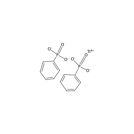 O=P([O-])([O-])c1ccccc1.O=P([O-])([O-])c1ccccc1.[Ti+4]